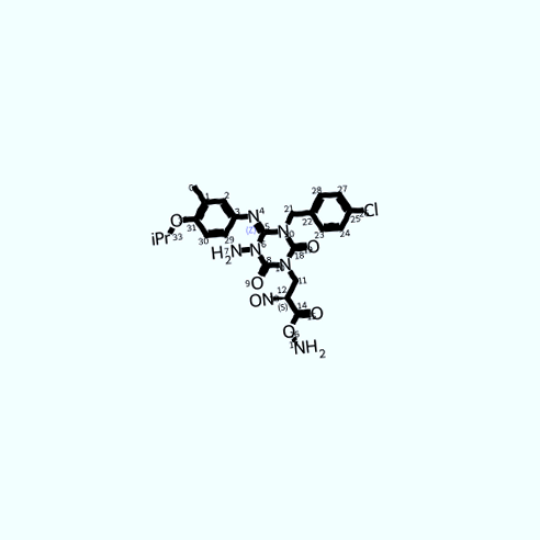 Cc1cc(/N=c2\n(N)c(=O)n(C[C@H](N=O)C(=O)ON)c(=O)n2Cc2ccc(Cl)cc2)ccc1OC(C)C